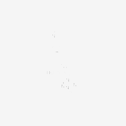 [C-]#[N+]Cc1ccc(CCC2(C3CCCC3)CC(O)=C(Cc3nc4nc(C)cc(C)n4n3)C(=O)O2)cc1CC